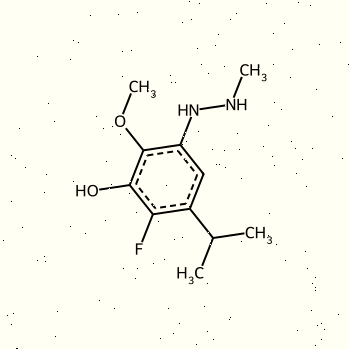 CNNc1cc(C(C)C)c(F)c(O)c1OC